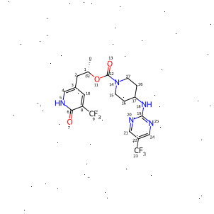 C[C@@H](Cc1c[nH]c(=O)c(C(F)(F)F)c1)OC(=O)N1CCC(Nc2ncc(C(F)(F)F)cn2)CC1